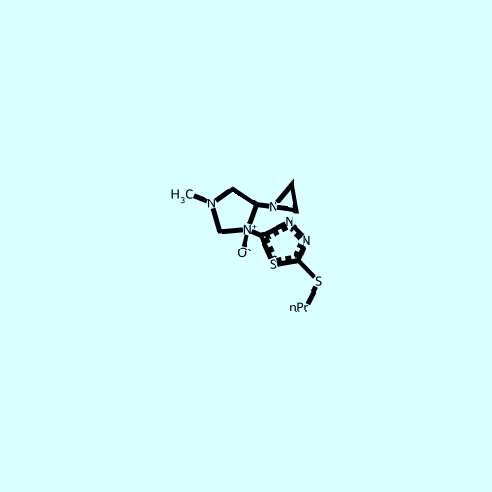 CCCSc1nnc([N+]2([O-])CN(C)CC2N2CC2)s1